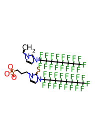 C=Cn1cc[n+](C(F)(F)C(F)(F)C(F)(F)C(F)(F)C(F)(F)C(F)(F)C(F)(F)C(F)(F)F)c1.O=S(=O)([O-])CCCn1ccn(C(F)(F)C(F)(F)C(F)(F)C(F)(F)C(F)(F)C(F)(F)C(F)(F)C(F)(F)F)c1=S